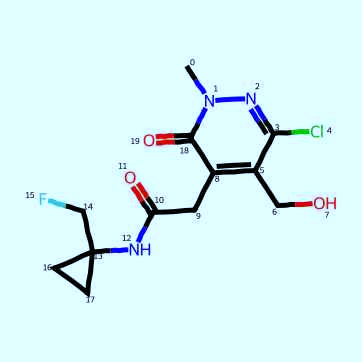 Cn1nc(Cl)c(CO)c(CC(=O)NC2(CF)CC2)c1=O